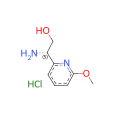 COc1cccc([C@H](N)CO)n1.Cl